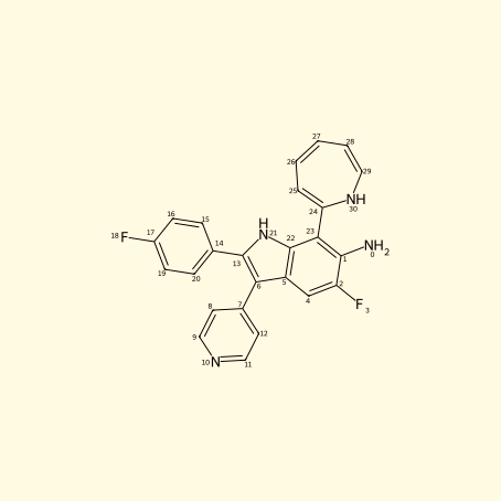 Nc1c(F)cc2c(-c3ccncc3)c(-c3ccc(F)cc3)[nH]c2c1C1=CC=CC=CN1